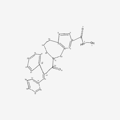 O=C(NO)c1ccc2c(c1)CN(C(=O)C(=Cc1ccccc1)c1ccccc1)CCC2